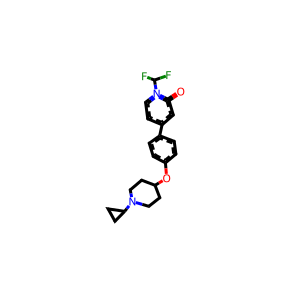 O=c1cc(-c2ccc(OC3CCN(C4CC4)CC3)cc2)ccn1C(F)F